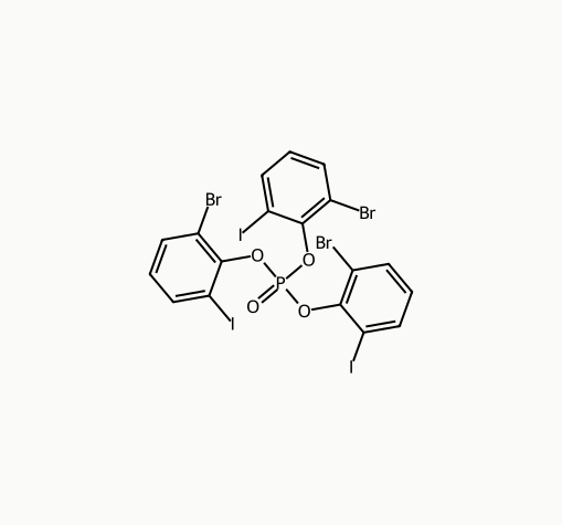 O=P(Oc1c(Br)cccc1I)(Oc1c(Br)cccc1I)Oc1c(Br)cccc1I